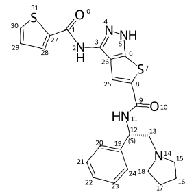 O=C(Nc1n[nH]c2sc(C(=O)N[C@H](CN3CCCC3)c3ccccc3)cc12)c1cccs1